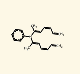 C=C/C=C\C=C(/C)N(/C(C)=C/C=C\C=C)c1ccccc1